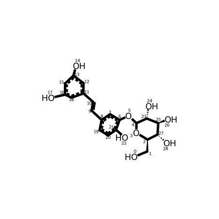 OC[C@H]1OC(Oc2cc(C=Cc3cc(O)cc(O)c3)ccc2O)[C@H](O)[C@@H](O)[C@@H]1O